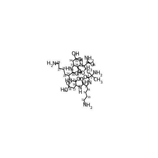 CC(C)(N)C(=O)NC(CCCCN)C(=O)NC(CC(=O)O)C(=O)NC(CCCCN)C(=O)NC(CC(=O)O)C(=O)NC(CO)C(N)=O